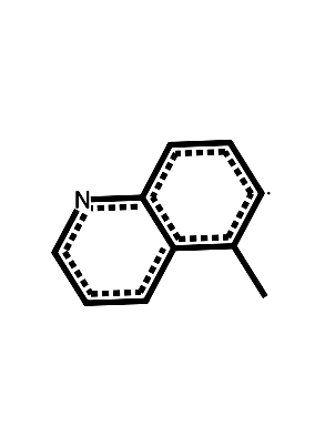 Cc1[c]ccc2ncccc12